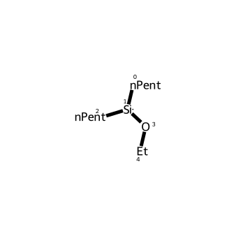 CCCCC[Si](CCCCC)OCC